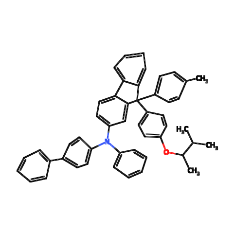 Cc1ccc(C2(c3ccc(OC(C)C(C)C)cc3)c3ccccc3-c3ccc(N(c4ccccc4)c4ccc(-c5ccccc5)cc4)cc32)cc1